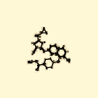 CC(C)(C)OC(=O)N1CCC(Oc2c(C#N)cnc3ccc(/C=C4\SC(NC5CC5)=NC4=O)cc23)CC1